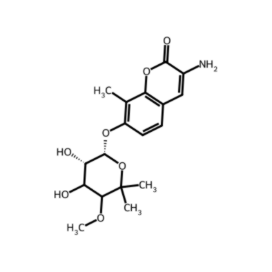 COC1C(O)[C@H](O)[C@H](Oc2ccc3cc(N)c(=O)oc3c2C)OC1(C)C